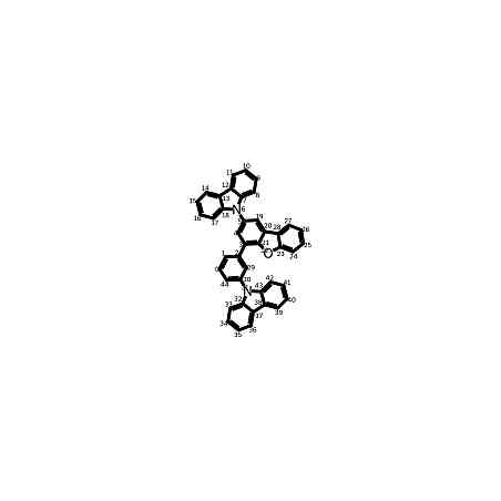 c1cc(-c2cc(-n3c4ccccc4c4ccccc43)cc3c2oc2ccccc23)cc(-n2c3ccccc3c3ccccc32)c1